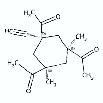 C#C[C@]1(C(C)=O)C[C@@](C)(C(C)=O)C[C@@](C)(C(C)=O)C1